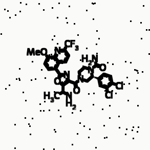 COc1ccc(-c2nc(C(=O)N3CCN(C(N)=O)[C@H](c4ccc(Cl)c(Cl)c4)C3)c(C(C)N)o2)c2ccc(C(F)(F)F)nc12